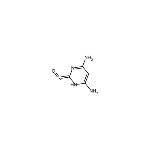 Nc1cc(N)[nH]c(=S=O)n1